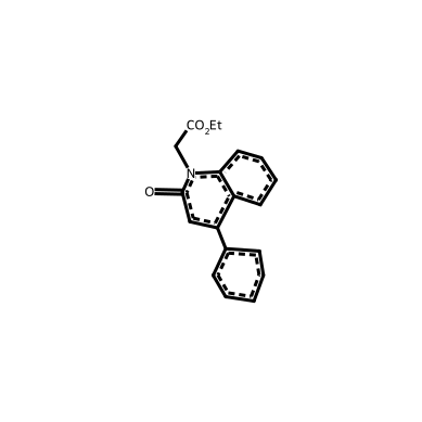 CCOC(=O)Cn1c(=O)cc(-c2ccccc2)c2ccccc21